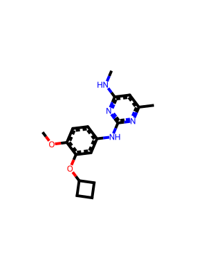 CNc1cc(C)nc(Nc2ccc(OC)c(OC3CCC3)c2)n1